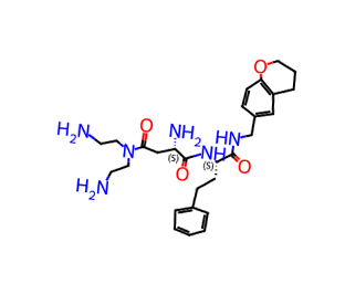 NCCN(CCN)C(=O)C[C@H](N)C(=O)N[C@@H](CCc1ccccc1)C(=O)NCc1ccc2c(c1)CCCO2